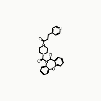 O=C(CCc1ccncc1)N1CCN(C(=O)N2c3ccccc3Oc3ccccc3C2Cl)CC1